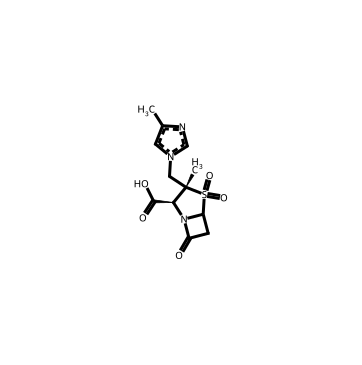 Cc1cn(C[C@@]2(C)[C@H](C(=O)O)N3C(=O)CC3S2(=O)=O)cn1